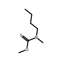 CCCCN(C)C(=S)OC